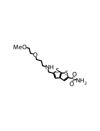 COCCOCCCNCc1cc2cc(S(N)(=O)=O)sc2s1